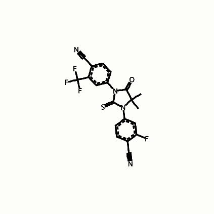 CC1(C)C(=O)N(c2ccc(C#N)c(C(F)(F)F)c2)C(=S)N1c1ccc(C#N)c(F)c1